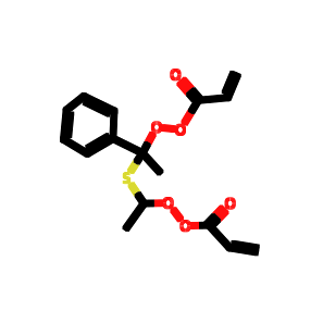 C=CC(=O)OOC(C)SC(C)(OOC(=O)C=C)c1ccccc1